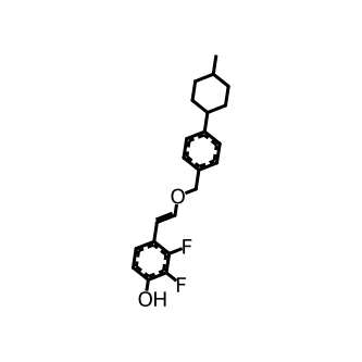 CC1CCC(c2ccc(COC=Cc3ccc(O)c(F)c3F)cc2)CC1